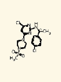 C[C@H](Nc1nc(Cl)cc(N2CCN(S(C)(=O)=O)CC2)n1)c1ccc(Cl)cc1